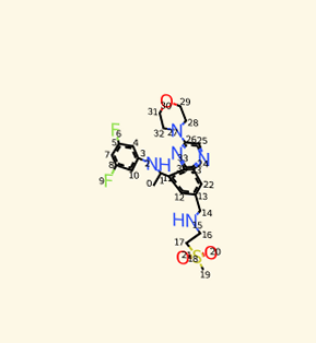 CC(Nc1cc(F)cc(F)c1)c1cc(CNCCS(C)(=O)=O)cc2ncc(N3CCOCC3)nc12